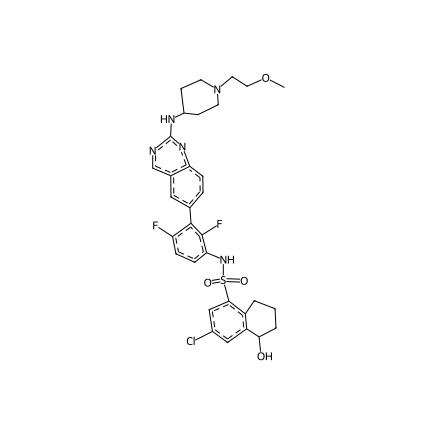 COCCN1CCC(Nc2ncc3cc(-c4c(F)ccc(NS(=O)(=O)c5cc(Cl)cc6c5CCCC6O)c4F)ccc3n2)CC1